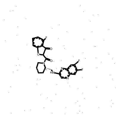 O=C1c2c(F)cccc2OC1C(=O)N1CCCC[C@H]1CNc1cnc2cc(F)c(F)cc2n1